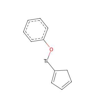 C1=CC[C]([Ti][O]c2ccccc2)=C1